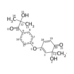 [CH2]C1(O)C=C(Oc2ccc(C(=O)C(C)(C)O)cc2)C=CC1=O